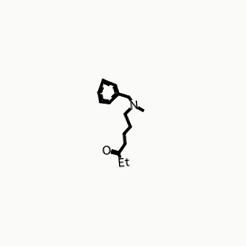 CCC(=O)CCCCN(C)Cc1ccccc1